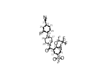 C[C@H](Oc1ncc(S(C)(=O)=O)cc1C(=O)N1CCN(c2ccc(C#N)cc2F)CC1)C(F)(F)F